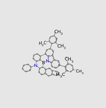 Cc1cc(C)c(-c2ccc3c(c2)c2cc(-c4c(C)cc(C)cc4C)cc4c2n3B2c3c-4cccc3N(c3ccccc3)c3ccc4cc5ccccc5cc4c32)c(C)c1